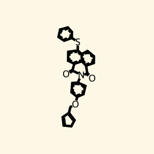 O=C1c2cccc3c(Sc4ccccc4)ccc(c23)C(=O)N1c1ccc(OCC2=CCC=C2)cc1